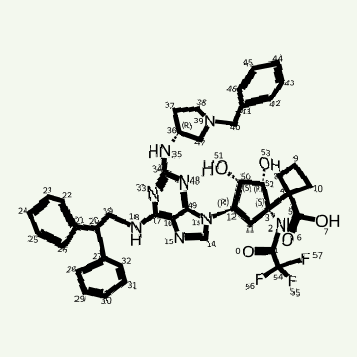 O=C(N[C@]1(C2(C(=O)O)CCC2)C[C@@H](n2cnc3c(NCC(c4ccccc4)c4ccccc4)nc(N[C@@H]4CCN(Cc5ccccc5)C4)nc32)[C@H](O)[C@@H]1O)C(F)(F)F